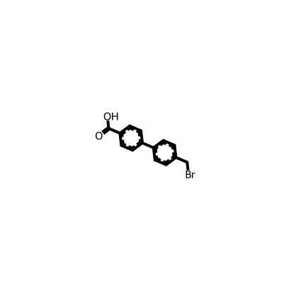 O=C(O)c1ccc(-c2ccc(CBr)cc2)cc1